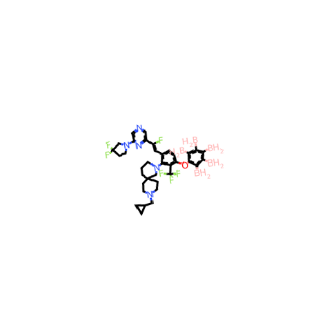 Bc1c(B)c(B)c(Oc2ccc(/C=C(\F)c3cncc(N4CCC(F)(F)C4)n3)c(N3CCCC4(CCN(CC5CC5)CC4)C3)c2C(F)(F)F)c(B)c1B